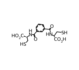 O=C(N[C@@H](CS)C(=O)O)c1cccc(C(=O)N[C@@H](CS)C(=O)O)c1